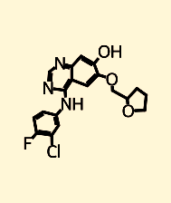 Oc1cc2ncnc(Nc3ccc(F)c(Cl)c3)c2cc1OCC1CCCO1